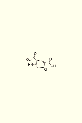 O=C1Nc2cc(Cl)c(C(=O)O)cc2C1=O